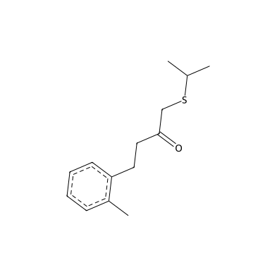 Cc1ccccc1CCC(=O)CSC(C)C